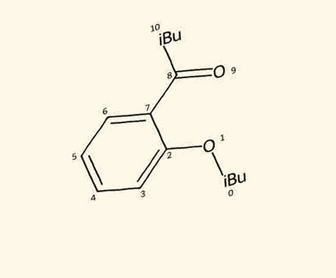 CCC(C)Oc1ccccc1C(=O)C(C)CC